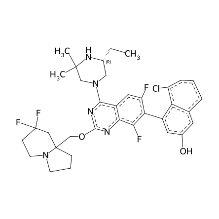 CC[C@@H]1CN(c2nc(OCC34CCCN3CCC(F)(F)C4)nc3c(F)c(-c4cc(O)cc5cccc(Cl)c45)c(F)cc23)CC(C)(C)N1